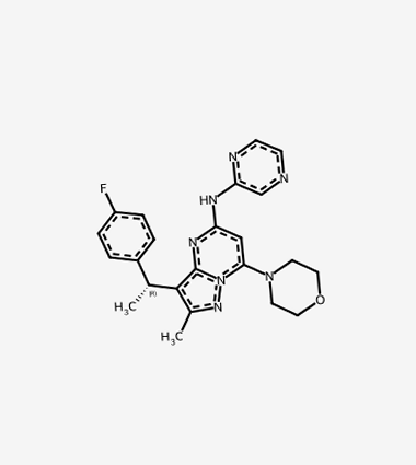 Cc1nn2c(N3CCOCC3)cc(Nc3cnccn3)nc2c1[C@H](C)c1ccc(F)cc1